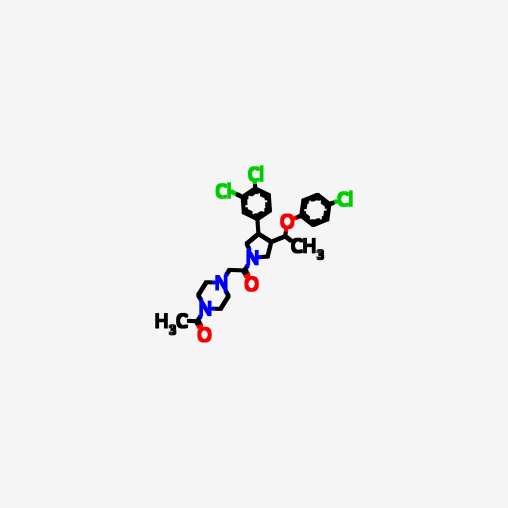 CC(=O)N1CCN(CC(=O)N2CC(c3ccc(Cl)c(Cl)c3)C(C(C)Oc3ccc(Cl)cc3)C2)CC1